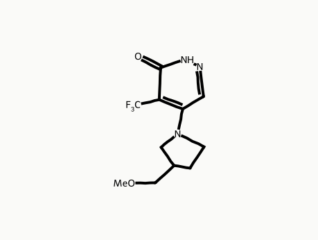 COCC1CCN(c2cn[nH]c(=O)c2C(F)(F)F)C1